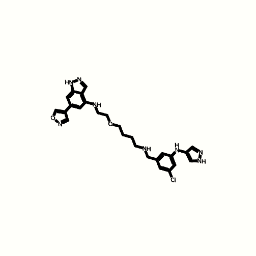 Clc1cc(CNCCCCOCCNc2cc(-c3cnoc3)cc3[nH]ncc23)cc(Nc2cn[nH]c2)c1